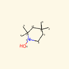 CC1(C)CCN(O)C(C)(C)C1